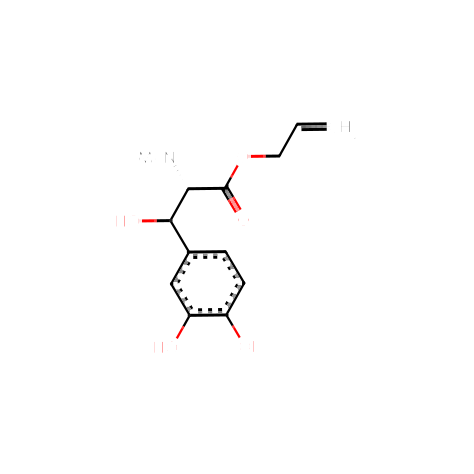 C=CCOC(=O)[C@@H](NC)C(O)c1ccc(O)c(O)c1